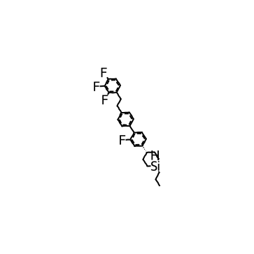 CCC[Si@H]1CC[C@H](c2ccc(-c3ccc(CCc4ccc(F)c(F)c4F)cc3)c(F)c2)CC1